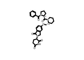 O=C1CCC(N2Cc3cc(OC[C@H]4CCCCN4C(=O)[C@@H]4CCCN4C(=O)c4ccccc4)ccc3C2=O)C(=O)N1